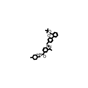 Cc1nn(Cc2ccc(-c3ccccc3C(=O)OC(C)(C)C)cc2)c2ccc(C(=O)NCC3CCC(C)CC3)cc12